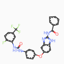 O=C(Nc1ccc(Oc2ccc3[nH]c(NC(=O)c4ccccc4)nc3c2)cc1)Nc1cc(C(F)(F)F)ccc1F